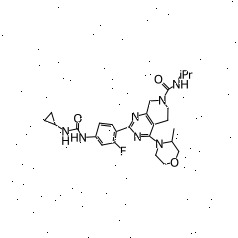 CC(C)NC(=O)N1CCc2c(nc(-c3ccc(NC(=O)NC4CC4)cc3F)nc2N2CCOCC2C)C1